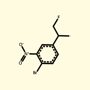 [CH2]C(CF)c1ccc(Br)c([N+](=O)[O-])c1